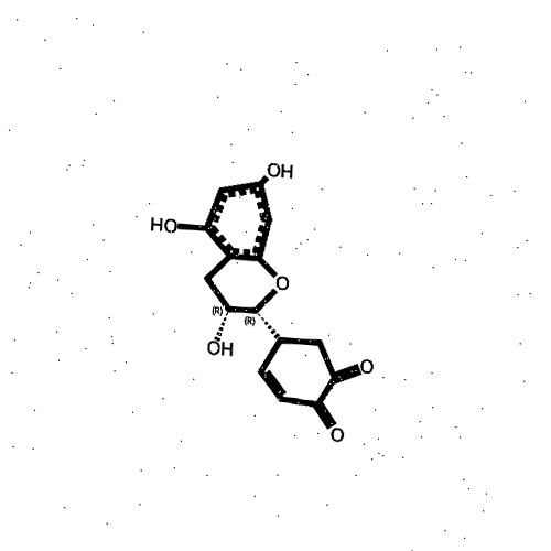 O=C1C=CC([C@H]2Oc3cc(O)cc(O)c3C[C@H]2O)CC1=O